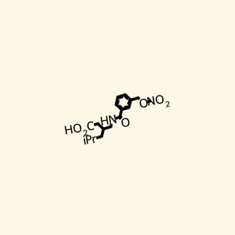 CC(C)CC(CNC(=O)c1cccc(CO[N+](=O)[O-])c1)CC(=O)O